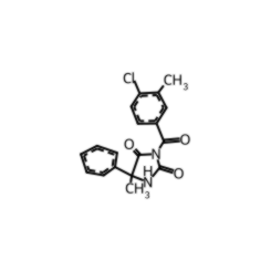 Cc1cc(C(=O)N2C(=O)NC(C)(c3ccccc3)C2=O)ccc1Cl